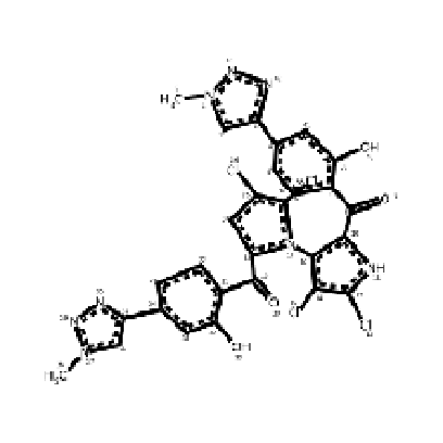 Cn1cc(-c2ccc(C(=O)c3[nH]c(Cl)c(Cl)c3-n3c(C(=O)c4ccc(-c5cn(C)nn5)cc4O)cc(Cl)c3Cl)c(O)c2)nn1